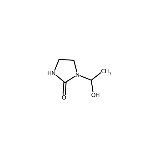 CC(O)N1CCNC1=O